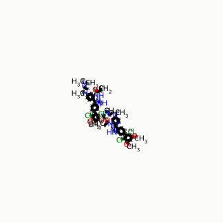 C=CC(=O)Nc1cc(N(C)CCN(C)CCOc2cc(OC)c(Cl)c([C@H]3CCc4c(-c5ccc(N(C)CCN(C)C)cc5NC(=O)C=C)n[nH]c4C3)c2Cl)ccc1-c1n[nH]c2c1CC[C@@H](c1c(Cl)c(OC)cc(OC)c1Cl)C2